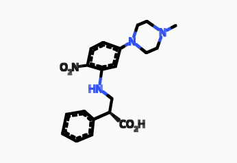 CN1CCN(c2ccc([N+](=O)[O-])c(NC[C@@H](C(=O)O)c3ccccc3)c2)CC1